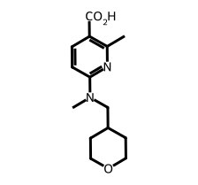 Cc1nc(N(C)CC2CCOCC2)ccc1C(=O)O